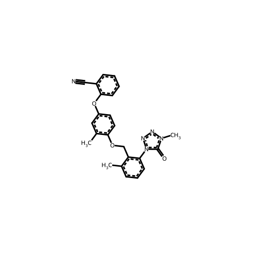 Cc1cc(Oc2ccccc2C#N)ccc1OCc1c(C)cccc1-n1nnn(C)c1=O